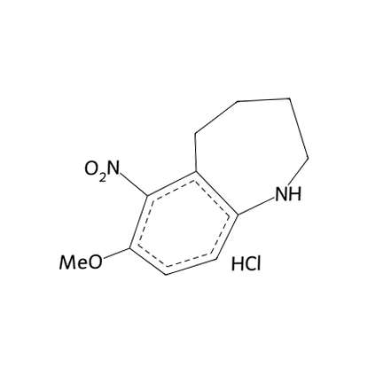 COc1ccc2c(c1[N+](=O)[O-])CCCCN2.Cl